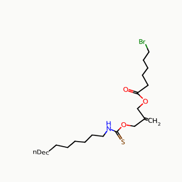 C=C(COC(=O)CCCCCBr)COC(=S)NCCCCCCCCCCCCCCCC